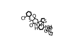 O=C1CC(c2ccsc2)(c2cccc(NS(=O)(=O)N3CCC3)n2)NC(=O)C1Sc1ccccc1Cl